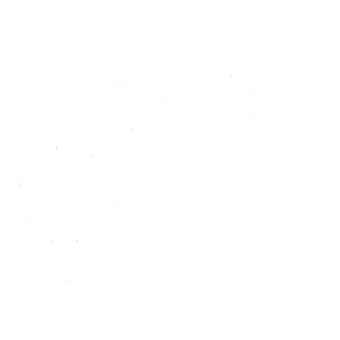 COc1c(C=CC(=O)c2ccc(OC(=O)C(C)(C)C)cc2)c(OC)c(C(C)C)c(OC(=O)C(C)(C)C)c1C(C)C